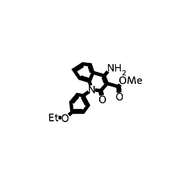 CCOc1ccc(-n2c(=O)c(C(=O)OC)c(N)c3ccccc32)cc1